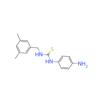 Cc1cc(C)cc(CNC(=S)Nc2ccc(N)cc2)c1